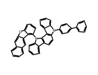 c1ccc(-c2ccc(-n3c4ccccc4c4c3ccc3c5ccccc5n(-c5cccc6oc7cc8ccccc8cc7c56)c34)cc2)cc1